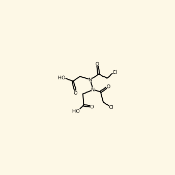 O=C(O)CN(C(=O)CCl)N(CC(=O)O)C(=O)CCl